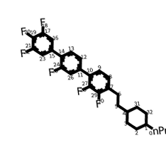 CCCC1CCC(CCc2ccc(-c3ccc(-c4cc(F)c(F)c(F)c4)c(F)c3)c(F)c2F)CC1